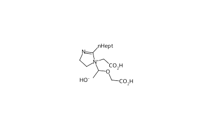 CCCCCCCC1=NCC[N+]1(CC(=O)O)C(C)OCC(=O)O.[OH-]